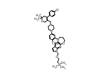 CC1(C)CC(c2ccc(Cl)cc2)=C(CN2CCN(c3ccc(C(=O)O)c(N4CCCOc5nc6c(ccn6COCC[Si](C)(C)C)cc54)c3)CC2)CO1